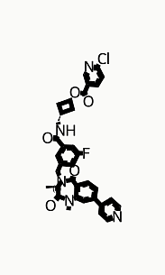 C[C@@H]1C(=O)N(C)c2cc(-c3ccncc3)ccc2C(=O)N1Cc1cc(F)cc(C(=O)NC[C@H]2C[C@@H](OC(=O)c3ccc(Cl)nc3)C2)c1